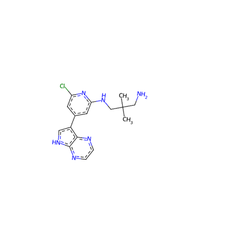 CC(C)(CN)CNc1cc(-c2c[nH]c3nccnc23)cc(Cl)n1